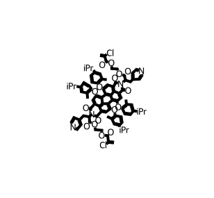 C=C(Cl)C(=O)OCCOC(=O)C(Cc1ccncc1)N1C(=O)c2cc(Oc3ccc(C(C)C)cc3C)c3c4c(Oc5ccc(C(C)C)cc5C)cc5c6c(cc(Oc7ccc(C(C)C)cc7C)c(c7c(Oc8ccc(C(C)C)cc8C)cc(c2c37)C1=O)c64)C(=O)N(C(Cc1ccncc1)C(=O)OCCOC(=O)C(=C)Cl)C5=O